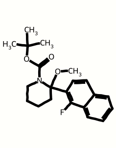 COC1(c2ccc3ccccc3c2F)CCCCN1C(=O)OC(C)(C)C